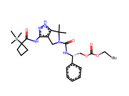 CC(C)(C)COC(=O)OC[C@@H](NC(=O)N1Cc2c(NC(=O)C3([Si](C)(C)C)CCC3)n[nH]c2C1(C)C)c1ccccc1